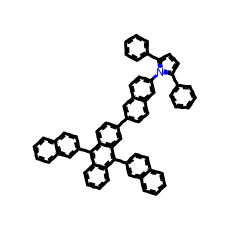 c1ccc(-c2ccc(-c3ccccc3)n2-c2ccc3cc(-c4ccc5c(-c6ccc7ccccc7c6)c6ccccc6c(-c6ccc7ccccc7c6)c5c4)ccc3c2)cc1